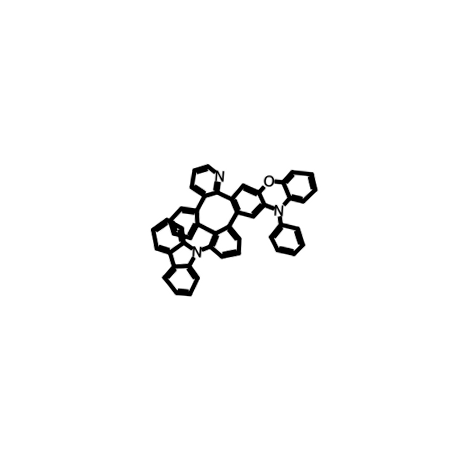 c1ccc(-n2c3ccccc3oc3cc4c(cc32)c2cccc(-n3c5ccccc5c5ccccc53)c2c2ccccc2c2cccnc24)cc1